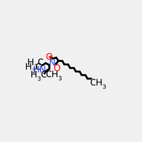 CCCCCCCCCCCCC1CC(=O)N(C2CC(C)(C)NC(C)(C)C2)C1=O